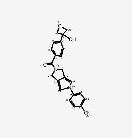 O=C(c1ccc(C2(O)COC2)cc1)N1Cc2cn(-c3ccc(C(F)(F)F)cc3)cc2C1